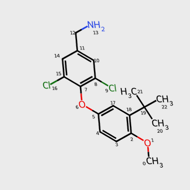 COc1ccc(Oc2c(Cl)cc(CN)cc2Cl)cc1C(C)(C)C